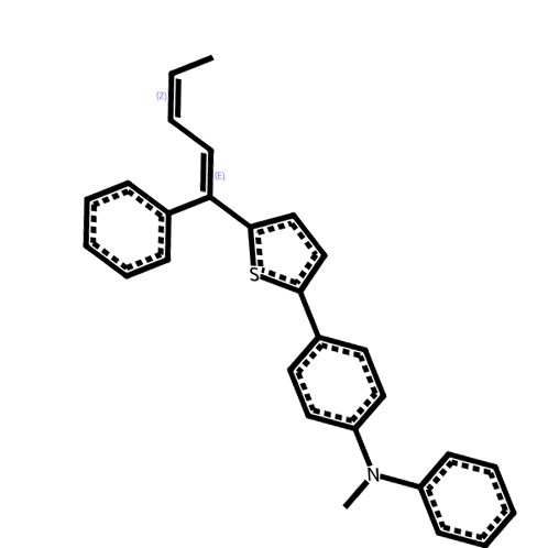 C/C=C\C=C(/c1ccccc1)c1ccc(-c2ccc(N(C)c3ccccc3)cc2)s1